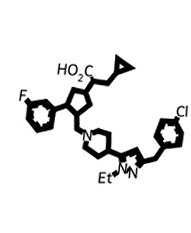 CCn1nc(Cc2ccc(Cl)cc2)cc1C1CCN(CC2CC([C@H](CC3CC3)C(=O)O)CC2c2cccc(F)c2)CC1